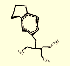 CC(C)C(C)c1ccc2c(c1)CCS2